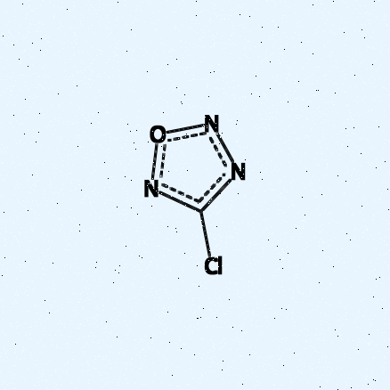 Clc1nnon1